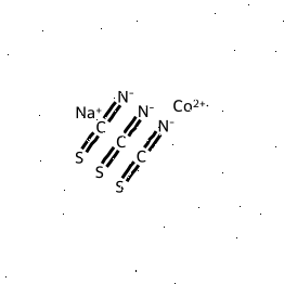 [Co+2].[N-]=C=S.[N-]=C=S.[N-]=C=S.[Na+]